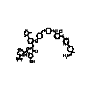 Cc1ncsc1-c1ccc(CNC(=O)[C@@H]2C[C@@H](O)CN2C(=O)[C@@H](NC(=O)C2(F)CC2)C(C)(C)C)c(OC2CCC(CN3CCC(Nc4cccc(Sc5cnc(N6CCC(C)(CN)CC6)cn5)c4Cl)CC3)CC2)c1